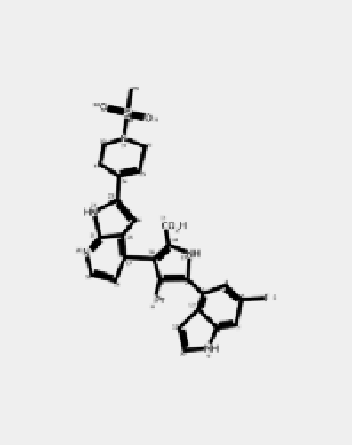 CC(C)c1c(-c2cc(F)cc3[nH]ccc23)[nH]c(C(=O)O)c1-c1ccnc2[nH]c(C3=CCN(S(C)(=O)=O)CC3)cc12